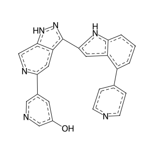 Oc1cncc(-c2cc3c(-c4cc5c(-c6ccncc6)cccc5[nH]4)n[nH]c3cn2)c1